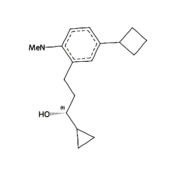 CNc1ccc(C2CCC2)cc1CC[C@@H](O)C1CC1